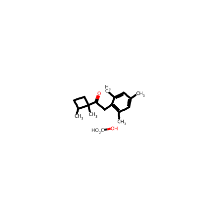 Cc1cc(C)c(CC(=O)C2(C)CCC2C)c(C)c1.O=C(O)O